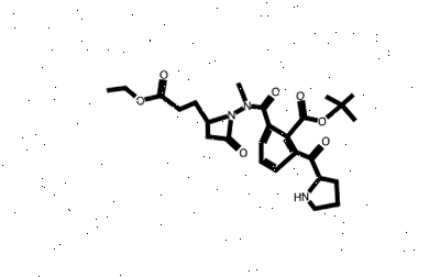 CCOC(=O)CCC1CC(=O)N1N(C)C(=O)c1cccc(C(=O)C2CCCN2)c1C(=O)OC(C)(C)C